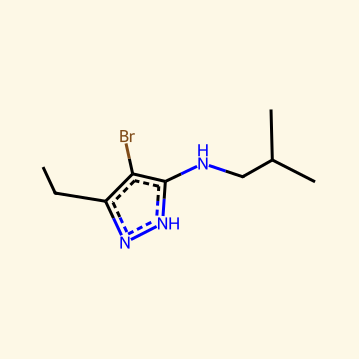 CCc1n[nH]c(NCC(C)C)c1Br